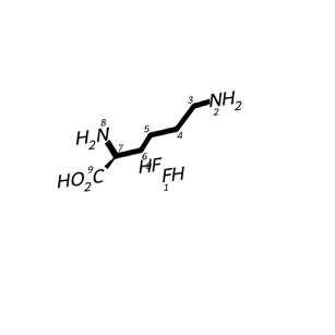 F.F.NCCCC[C@H](N)C(=O)O